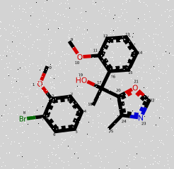 COc1ccccc1Br.COc1ccccc1C(C)(O)c1ocnc1C